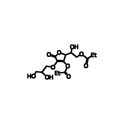 CCC(=O)OCC(O)C1OC(=O)C(OCC(O)CO)=C1OC(=O)CC